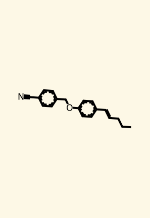 CCCC=Cc1ccc(OCc2ccc(C#N)cc2)cc1